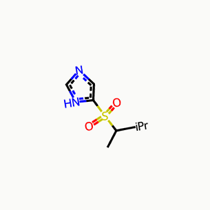 CC(C)C(C)S(=O)(=O)c1cnc[nH]1